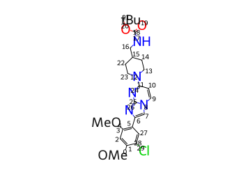 COc1cc(OC)c(-c2cn3ccc(N4CCC(CNC(=O)OC(C)(C)C)CC4)nc3n2)cc1Cl